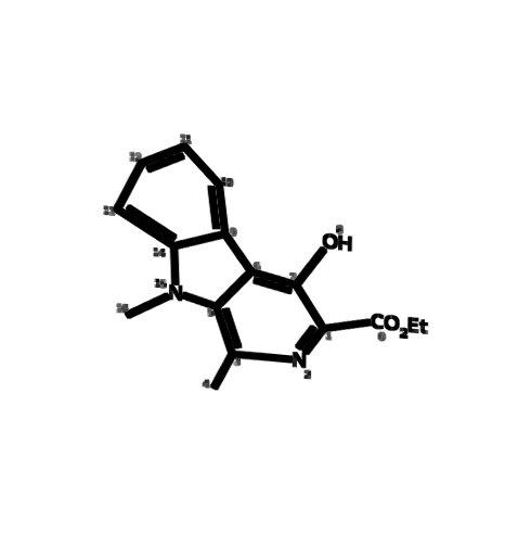 CCOC(=O)c1nc(C)c2c(c1O)c1ccccc1n2C